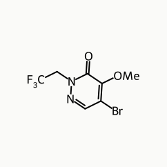 COc1c(Br)cnn(CC(F)(F)F)c1=O